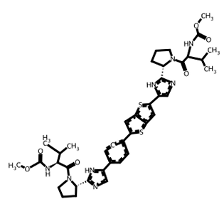 COC(=O)NC(C(=O)N1CCC[C@H]1c1ncc(-c2cc3sc(-c4ccc(-c5cnc([C@@H]6CCCN6C(=O)[C@@H](NC(=O)OC)C(C)C)[nH]5)cc4)cc3s2)[nH]1)C(C)C